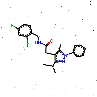 Cc1c(CC(=O)NCc2ccc(F)cc2Cl)c(C(C)C)nn1-c1ccccc1